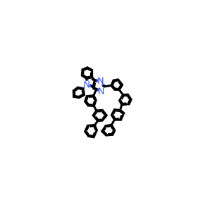 c1ccc(-c2ccc(-c3cccc(-c4cccc(-c5nc(-c6cccc(-c7cccc(-c8ccccc8)c7)c6)c6c(n5)c5ccccc5n6-c5ccccc5)c4)c3)cc2)cc1